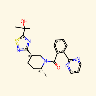 C[C@@H]1CC[C@@H](c2nsc(C(C)(C)O)n2)CN1C(=O)c1ccccc1-c1ncccn1